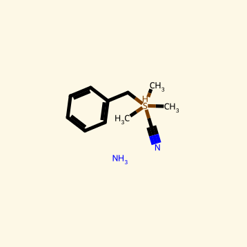 C[SH](C)(C)(C#N)Cc1ccccc1.N